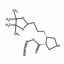 CC1(C)OB(CCC[C@@H]2CNC[C@@H]2C(=O)ON=[N+]=[N-])OC1(C)C